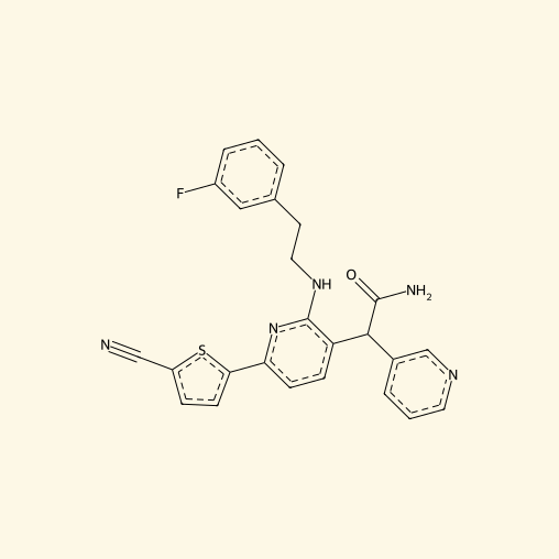 N#Cc1ccc(-c2ccc(C(C(N)=O)c3cccnc3)c(NCCc3cccc(F)c3)n2)s1